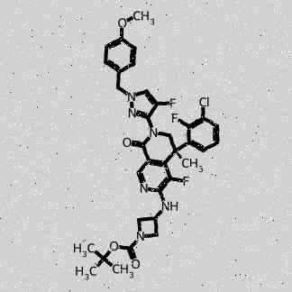 COc1ccc(Cn2cc(F)c(N3C[C@](C)(c4cccc(Cl)c4F)c4c(cnc(NC5CN(C(=O)OC(C)(C)C)C5)c4F)C3=O)n2)cc1